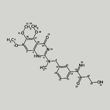 COc1cc2[nH]c(N(C)Cc3cccc(C(=N)C(=O)CCO)c3)nc(=O)c2c(OC)c1OC